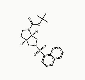 CC(C)(C)OC(=O)N1CC[C@H]2CN(S(=O)(=O)c3cccc4cnccc34)C[C@H]21